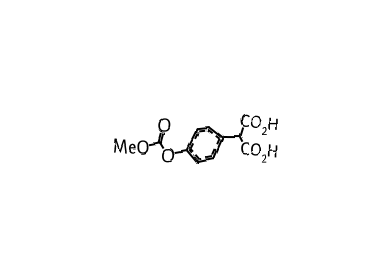 COC(=O)Oc1ccc(C(C(=O)O)C(=O)O)cc1